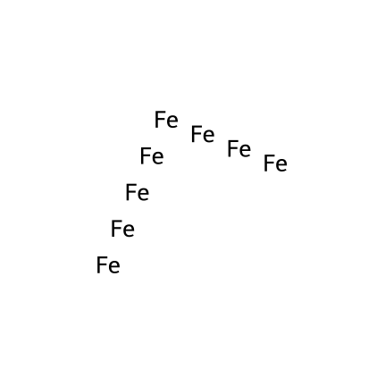 [Fe].[Fe].[Fe].[Fe].[Fe].[Fe].[Fe].[Fe]